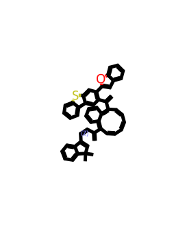 C=C(/C=C\C1=CC(C)(C)c2ccccc21)c1ccccccc(C(=C)c2cc3c(cc2-c2cc4ccccc4o2)sc2ccccc23)c2ccccc12